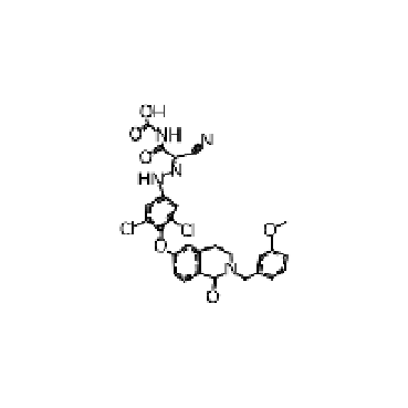 COc1cccc(CN2CCc3cc(Oc4c(Cl)cc(NN=C(C#N)C(=O)NC(=O)O)cc4Cl)ccc3C2=O)c1